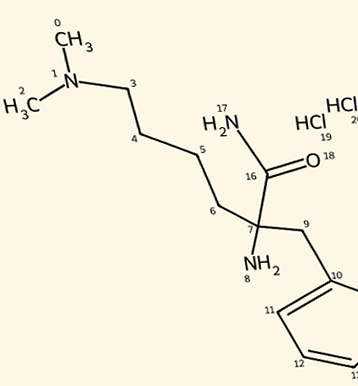 CN(C)CCCCC(N)(Cc1ccccn1)C(N)=O.Cl.Cl